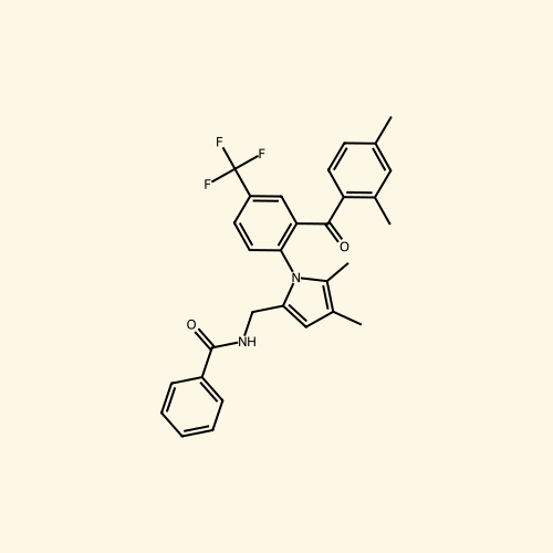 Cc1ccc(C(=O)c2cc(C(F)(F)F)ccc2-n2c(CNC(=O)c3ccccc3)cc(C)c2C)c(C)c1